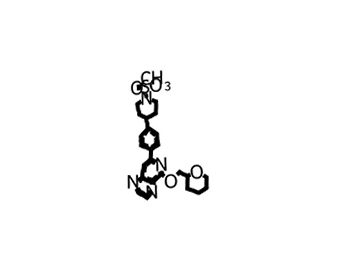 CS(=O)(=O)N1CCC(c2ccc(-c3cc4nccnc4c(OCC4CCCCO4)n3)cc2)CC1